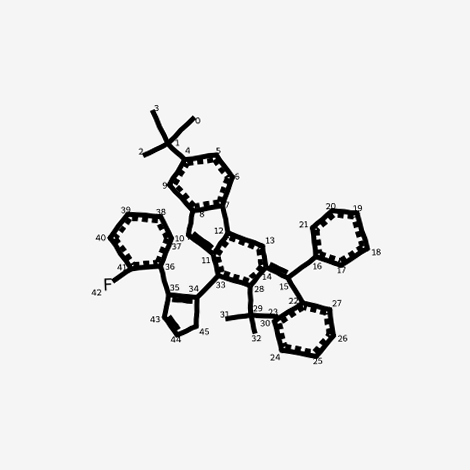 CC(C)(C)c1ccc2c(c1)[C]=c1c-2cc(=C(c2ccccc2)c2ccccc2)c(C(C)(C)C)c1C1=C(c2ccccc2F)C=CC1